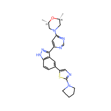 C[C@@H]1CN(c2cc(-c3n[nH]c4ccc(-c5cnc(N6CCCC6)s5)cc34)ncn2)C[C@H](C)O1